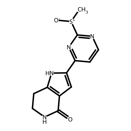 C[S+]([O-])c1nccc(-c2cc3c([nH]2)CCNC3=O)n1